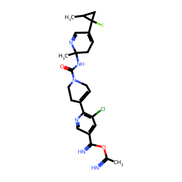 CC(=N)OC(=N)c1cnc(C2=CCN(C(=O)NC3(C)CC=C(C4(F)CC4C)C=N3)CC2)c(Cl)c1